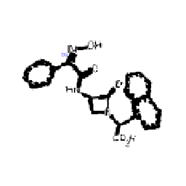 O=C(NC1CN(C(C(=O)O)c2cccc3ccccc23)C1=O)/C(=N\O)c1ccccc1